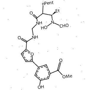 CCCCCC(C(=O)NCNC(=O)c1ccc(-c2cc(O)cc(C(=O)OC)c2)o1)[C@@H](CC)N(O)C=O